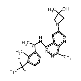 Cc1c([C@@H](C)Nc2nnc(C)c3ncc(N4CC(C)(O)C4)cc23)cccc1C(C)(F)F